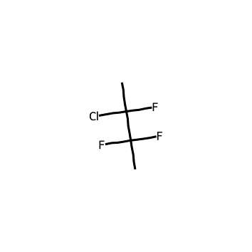 CC(F)(F)C(C)(F)Cl